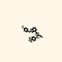 COc1ccc(Cn2cc3c(-c4nc(C#N)c(Nc5ccc(S(C)(=O)=O)cc5)o4)cccc3n2)cc1